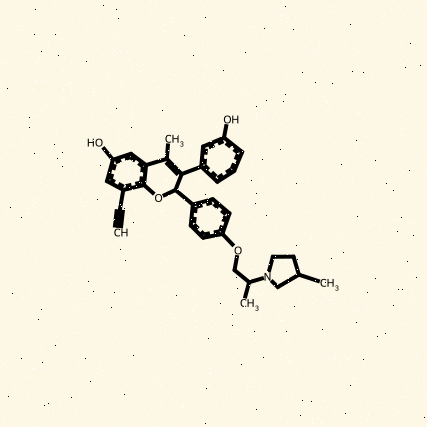 C#Cc1cc(O)cc2c1OC(c1ccc(OCC(C)N3CCC(C)C3)cc1)C(c1cccc(O)c1)=C2C